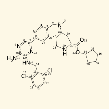 CN(Cc1ccc(-c2cnc(N)c(NCc3c(Cl)cccc3Cl)n2)cc1)C1CCN[C@@H](C(=O)OC2CCCC2)C1